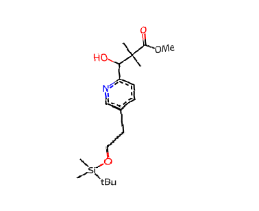 COC(=O)C(C)(C)C(O)c1ccc(CCO[Si](C)(C)C(C)(C)C)cn1